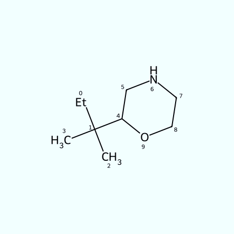 CCC(C)(C)C1CNCCO1